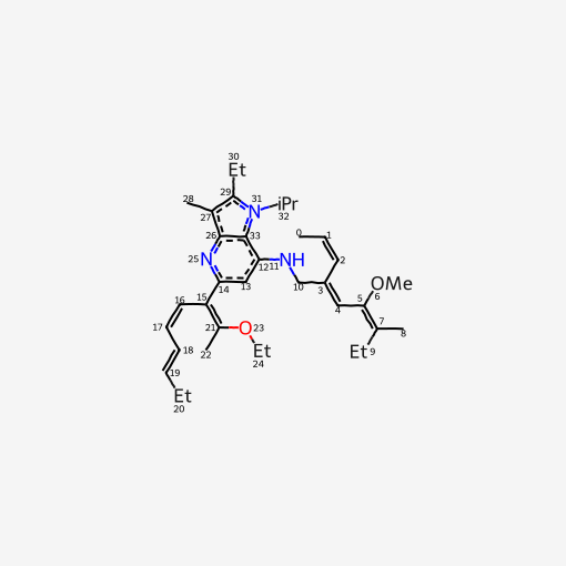 C\C=C/C(=C\C(OC)=C(\C)CC)CNc1cc(C(/C=C\C=C\CC)=C(/C)OCC)nc2c(C)c(CC)n(C(C)C)c12